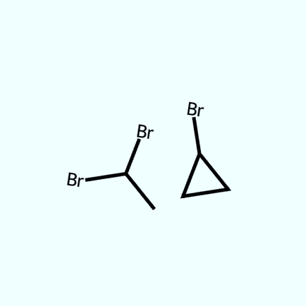 BrC1CC1.CC(Br)Br